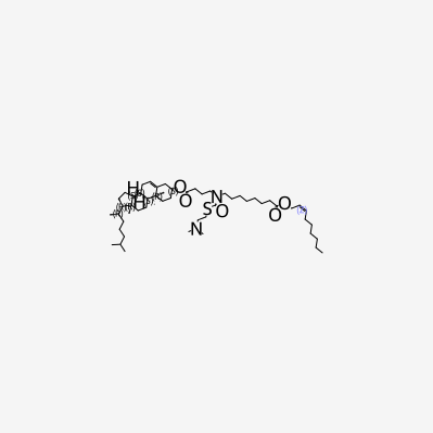 CCCCCC/C=C\COC(=O)CCCCCCCN(CCCC(=O)O[C@H]1CC[C@@]2(C)C(=CC[C@H]3[C@@H]4CC[C@H]([C@H](C)CCCC(C)C)[C@@]4(C)CC[C@@]32C)C1)C(=O)SCCN(C)C